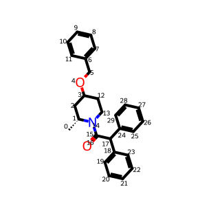 C[C@@H]1CC(OCc2ccccc2)CCN1C(=O)C(c1ccccc1)c1ccccc1